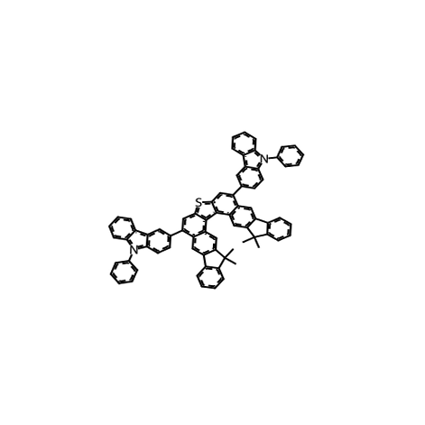 CC1(C)c2ccccc2-c2cc3c(-c4ccc5c(c4)c4ccccc4n5-c4ccccc4)cc4sc5cc(-c6ccc7c(c6)c6ccccc6n7-c6ccccc6)c6cc7c(cc6c5c4c3cc21)C(C)(C)c1ccccc1-7